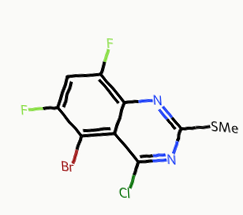 CSc1nc(Cl)c2c(Br)c(F)cc(F)c2n1